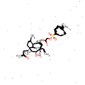 C=C[C@@]1(C)C[C@@H](OC(=O)COS(=O)(=O)c2ccc(C)cc2)[C@]2(C)C(C)CC[C@@](CCC(C)=O)(C2C)[C@@H](C)[C@@H]1O